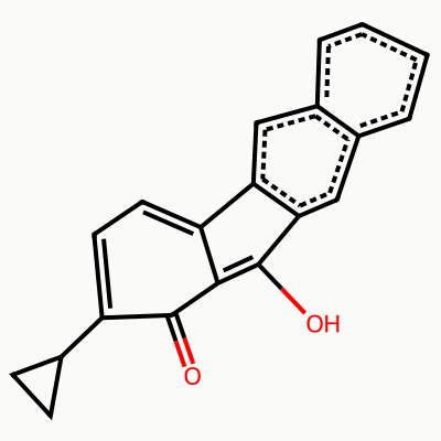 O=C1C(C2CC2)=CC=C2C1=C(O)c1cc3ccccc3cc12